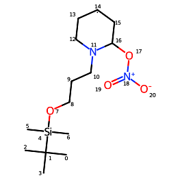 CC(C)(C)[Si](C)(C)OCCCN1CC[CH]CC1O[N+](=O)[O-]